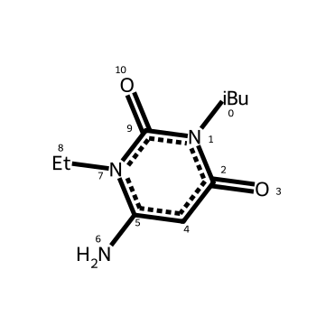 CCC(C)n1c(=O)cc(N)n(CC)c1=O